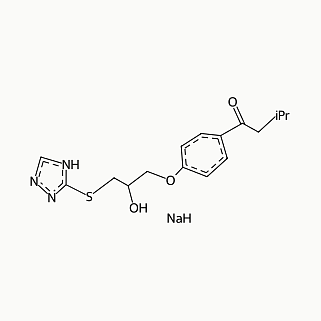 CC(C)CC(=O)c1ccc(OCC(O)CSc2nnc[nH]2)cc1.[NaH]